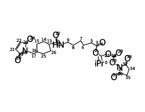 CC(C)C(OC(=O)CCCCCNC(=O)C1CCC(CN2C(=O)C=CC2=O)CC1)OC(=O)ON1C(=O)CCC1=O